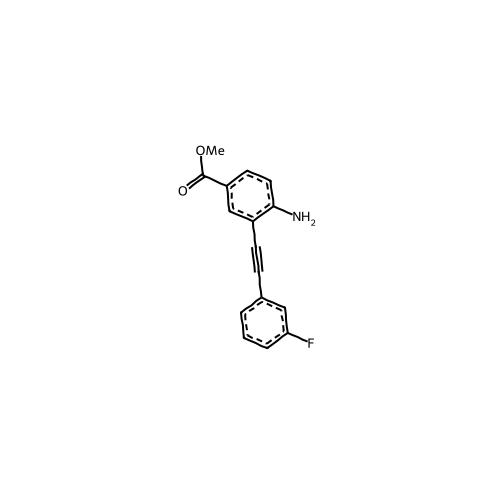 COC(=O)c1ccc(N)c(C#Cc2cccc(F)c2)c1